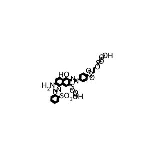 Nc1ccc2c(O)c(/N=N/c3ccc(S(=O)(=O)CCOSOOO)cc3)c(SOOO)cc2c1/N=N/c1ccccc1S(=O)(=O)O